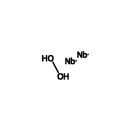 OO.[Nb].[Nb]